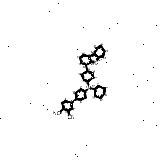 N#Cc1ccc(-c2ccc(N(c3ccccc3)c3ccc(-c4cccc5c4oc4ccccc45)cc3)cc2)cc1C#N